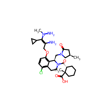 C[C@@H]1CC(=O)N(C[C@@H]2c3c(OC/C(N)=C(\C4CC4)N(C)N)ccc(Cl)c3CCN2C(=O)[C@@H]2CCCC[C@]2(C)C(=O)O)C1